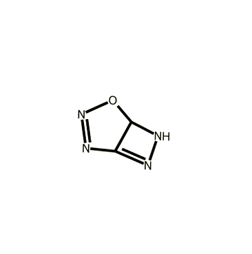 N1=NC2=NNC2O1